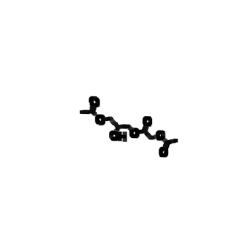 CC(=O)OCC(=O)OCC(O)COC(C)=O